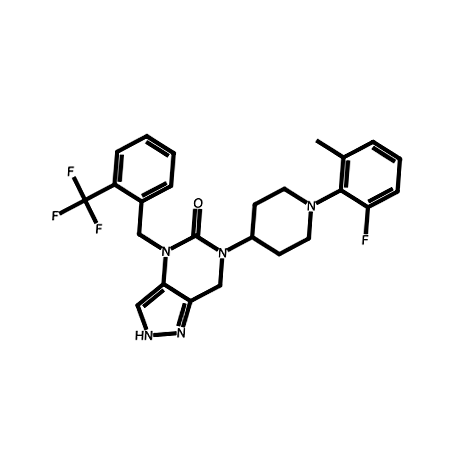 Cc1cccc(F)c1N1CCC(N2Cc3n[nH]cc3N(Cc3ccccc3C(F)(F)F)C2=O)CC1